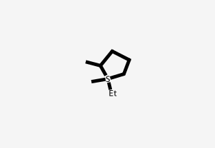 CCS1(C)CCCC1C